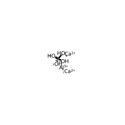 O[Si](O)(O)O.[Al+3].[Ca+2].[Ca+2]